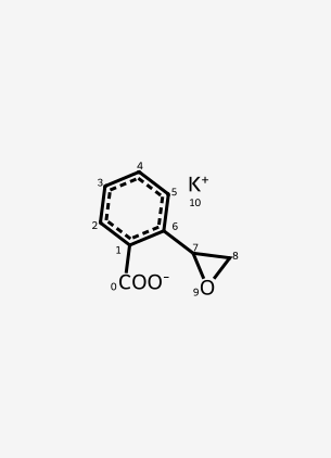 O=C([O-])c1ccccc1C1CO1.[K+]